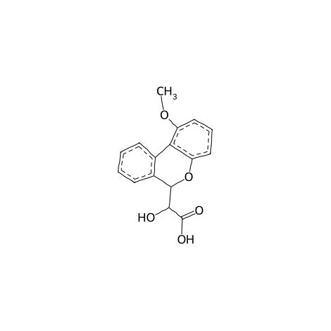 COc1cccc2c1-c1ccccc1C(C(O)C(=O)O)O2